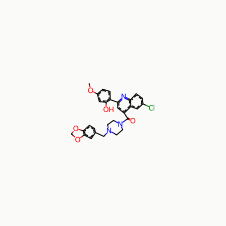 COc1ccc(-c2cc(C(=O)N3CCN(Cc4ccc5c(c4)OCO5)CC3)c3cc(Cl)ccc3n2)c(O)c1